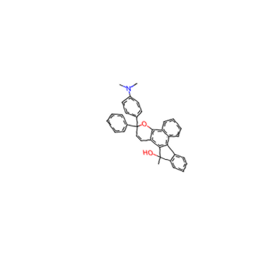 CN(C)c1ccc(C2(c3ccccc3)C=Cc3c4c(c5ccccc5c3O2)-c2ccccc2C4(C)O)cc1